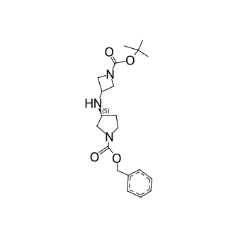 CC(C)(C)OC(=O)N1CC(N[C@H]2CCN(C(=O)OCc3ccccc3)C2)C1